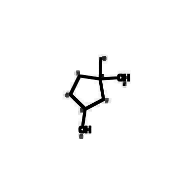 CC1(O)CCC(O)C1